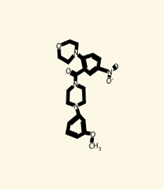 COc1cccc(N2CCN(C(=O)c3cc([N+](=O)[O-])ccc3N3CCOCC3)CC2)c1